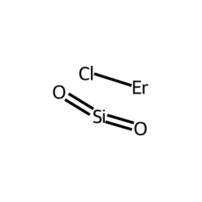 O=[Si]=O.[Cl][Er]